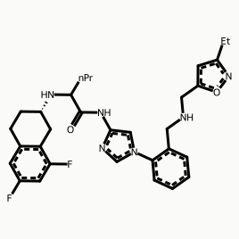 CCCC(N[C@H]1CCc2cc(F)cc(F)c2C1)C(=O)Nc1cn(-c2ccccc2CNCc2cc(CC)no2)cn1